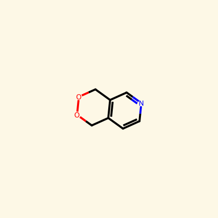 c1cc2c(cn1)COOC2